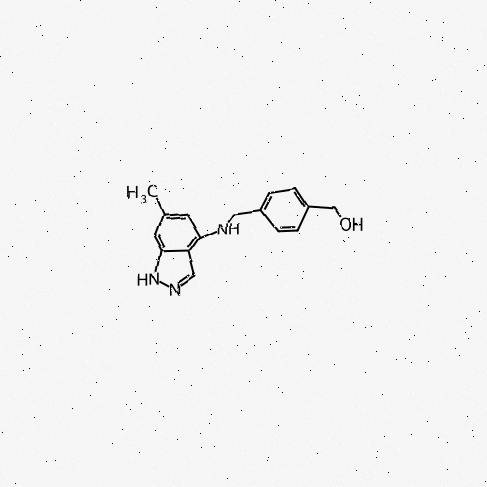 Cc1cc(NCc2ccc(CO)cc2)c2cn[nH]c2c1